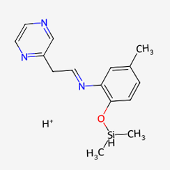 Cc1ccc(O[SiH](C)C)c(N=CCc2cnccn2)c1.[H+]